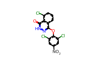 O=c1[nH]nc(Oc2c(Cl)cc([N+](=O)[O-])cc2Cl)c2cccc(Cl)c12